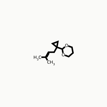 CC(C)=CCC1(C2OCCCO2)CC1